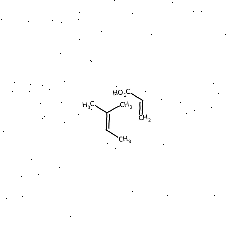 C=CC(=O)O.CC=C(C)C